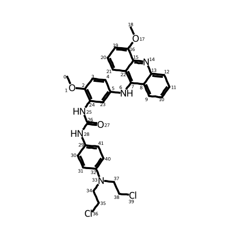 COc1ccc(Nc2c3ccccc3nc3c(OC)cccc23)cc1NC(=O)Nc1ccc(N(CCCl)CCCl)cc1